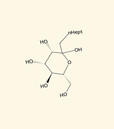 CCCCCCCCC1(O)O[C@H](CO)[C@@H](O)[C@H](O)[C@@H]1O